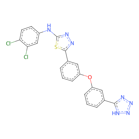 Clc1ccc(Nc2nnc(-c3cccc(Oc4cccc(-c5nnn[nH]5)c4)c3)s2)cc1Cl